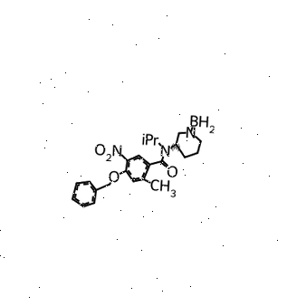 BN1CCC[C@@H](N(C(=O)c2cc([N+](=O)[O-])c(OCc3ccccc3)cc2C)C(C)C)C1